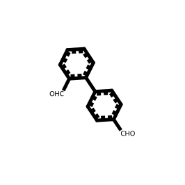 O=Cc1ccc(-c2ccccc2C=O)cc1